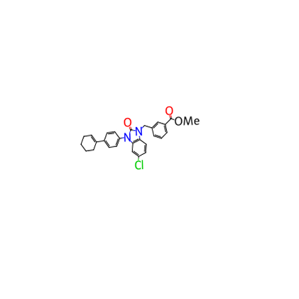 COC(=O)c1cccc(Cn2c(=O)n(-c3ccc(C4=CCCCC4)cc3)c3cc(Cl)ccc32)c1